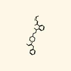 C/C=N\C=C(/C)c1ccccc1C(C)CCC1CCN(/C(=C\C)Cc2ccccc2)CC1